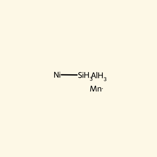 [AlH3].[Mn].[SiH3][Ni]